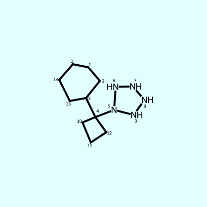 C1CC[C](C2(n3[nH][nH][nH][nH]3)CCC2)CC1